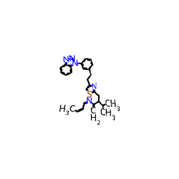 C=C(/N=C\C=C/C)C(Cc1nc(CCc2cccc(-n3nnc4ccccc43)c2)cs1)C(C)C